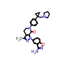 Nc1noc2ccc(-n3nc(C(F)(F)F)c4c3C(=O)N(c3ccc(C5(CN6CCCC6)CC5)cc3)CC4)cc12